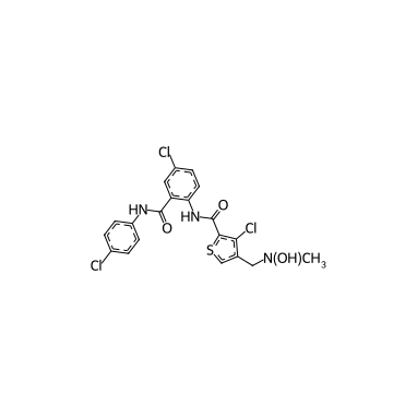 CN(O)Cc1csc(C(=O)Nc2ccc(Cl)cc2C(=O)Nc2ccc(Cl)cc2)c1Cl